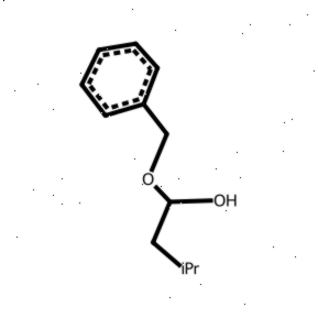 CC(C)CC(O)OCc1ccccc1